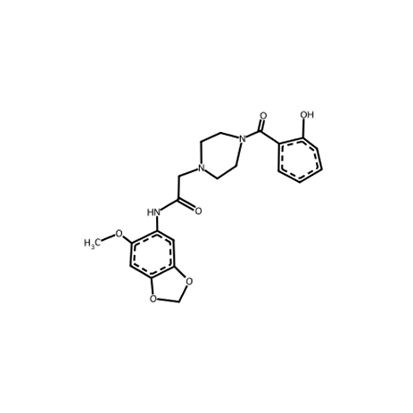 COc1cc2c(cc1NC(=O)CN1CCN(C(=O)c3ccccc3O)CC1)OCO2